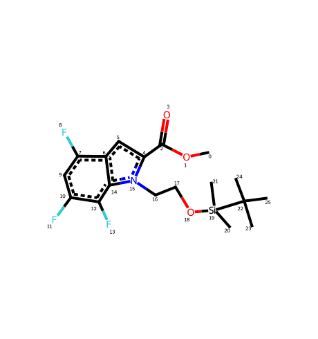 COC(=O)c1cc2c(F)cc(F)c(F)c2n1CCO[Si](C)(C)C(C)(C)C